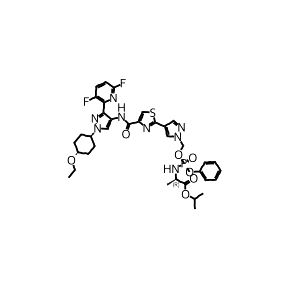 CCO[C@H]1CC[C@H](n2cc(NC(=O)c3csc(-c4cnn(COP(=O)(N[C@H](C)C(=O)OC(C)C)Oc5ccccc5)c4)n3)c(-c3nc(F)ccc3F)n2)CC1